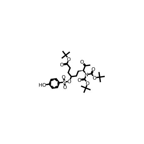 CC(=O)[C@H](CCC(CCC(=O)OC(C)(C)C)OS(=O)(=O)c1ccc(O)cc1)N(C(=O)OC(C)(C)C)C(=O)OC(C)(C)C